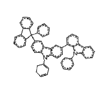 C1=CCCC(n2c3ccc(-c4cccc5c6ccccc6n(-c6ccccc6)c45)cc3c3cc(C4(c5ccccc5)c5ccccc5-c5ccccc54)ccc32)=C1